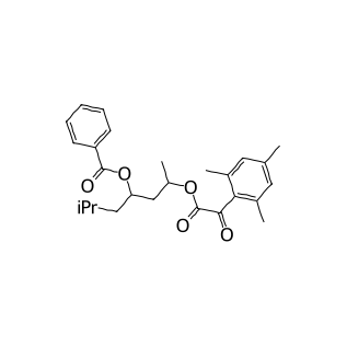 Cc1cc(C)c(C(=O)C(=O)OC(C)CC(CC(C)C)OC(=O)c2ccccc2)c(C)c1